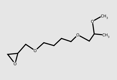 COC(C)COCCCCOCC1CO1